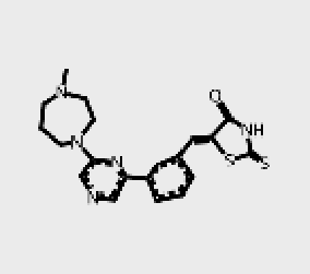 CN1CCCN(c2cncc(-c3cccc(/C=C4\SC(=S)NC4=O)c3)n2)CC1